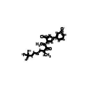 CC(CSCCC(F)(F)F)C(=O)N(C)c1cn(-c2ccc[n+]([O-])c2)nc1Cl